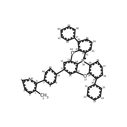 Cc1cccnc1-c1ccc(-c2cc3c4c(c2)Oc2c(-c5ccccc5)cccc2P4(=S)c2cccc(-c4ccccc4)c2O3)cc1